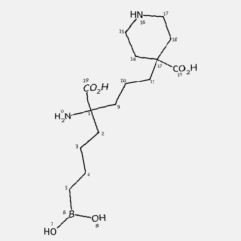 NC(CCCCB(O)O)(CCCC1(C(=O)O)CCNCC1)C(=O)O